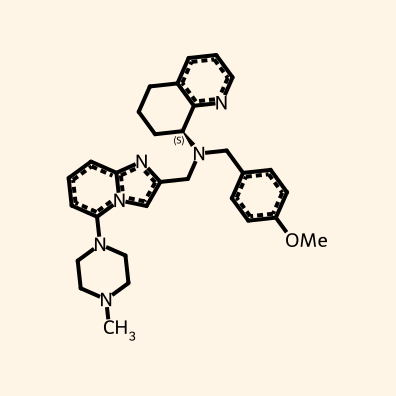 COc1ccc(CN(Cc2cn3c(N4CCN(C)CC4)cccc3n2)[C@H]2CCCc3cccnc32)cc1